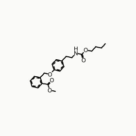 CCCCOC(=O)NCCc1ccc(OCc2ccccc2C(=O)OC)cc1